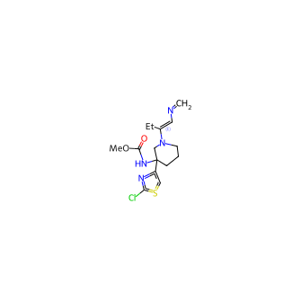 C=N/C=C(\CC)N1CCCC(NC(=O)OC)(c2csc(Cl)n2)C1